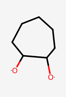 [O]C1CCCCCC1[O]